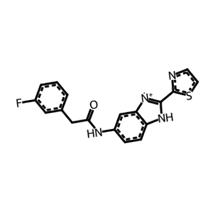 O=C(Cc1cccc(F)c1)Nc1ccc2c(c1)[N+]=C(c1nccs1)N2